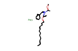 CCCCCCCCCCCCOC(C)N(Cc1ccccc1)C(C)OC.Cl